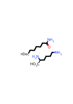 CCCCCCCCCCCCCCCC(N)=O.NCCCC[C@H](N)C(=O)O